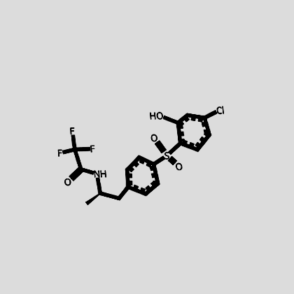 C[C@H](Cc1ccc(S(=O)(=O)c2ccc(Cl)cc2O)cc1)NC(=O)C(F)(F)F